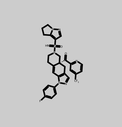 N=S(=O)(c1cnn2c1CCC2)N1CCC2=Cc3c(cnn3-c3ccc(F)cc3)C[C@]2(C(=O)c2cc(C(F)(F)F)ccn2)C1